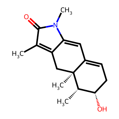 CC1=C2C[C@@]3(C)C(=CC[C@H](O)[C@@H]3C)C=C2N(C)C1=O